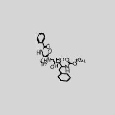 CC(C)C[C@H](NC(=O)c1ccccc1)C(=O)NCC(O)C(O)C(CC1CCCCC1)NC(=O)OC(C)(C)C